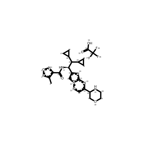 Cc1nonc1C(=O)N[C@H](c1cn2ncc(C3COCCN3)nc2n1)C(C1CC1)C1CC1.O=C(O)C(F)(F)F